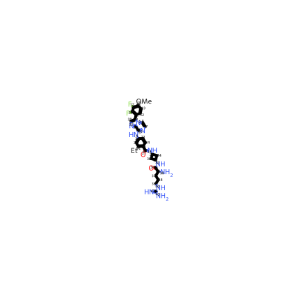 CCc1cc(Nc2nccn3c(-c4ccc(OC)c(F)c4F)cnc23)ccc1C(=O)N[C@H]1C[C@@H](NC(=O)[C@@H](N)CCCNC(=N)N)C1